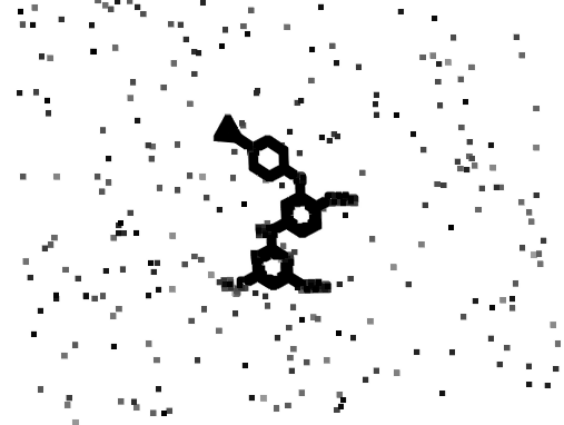 CNc1cc(C)nc(Nc2ccc(OC)c(OC3CCN(C4CC4)CC3)c2)n1